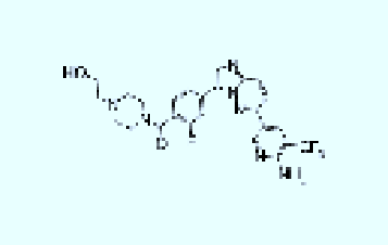 Nc1ncc(-c2ccc3ncc(-c4ccc(C(=O)N5CCN(CCO)CC5)c(F)c4)n3n2)cc1C(F)(F)F